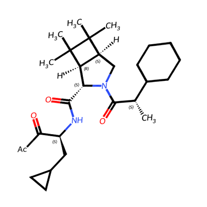 CC(=O)C(=O)[C@H](CC1CC1)NC(=O)[C@@H]1[C@@H]2[C@H](CN1C(=O)[C@@H](C)C1CCCCC1)C(C)(C)C2(C)C